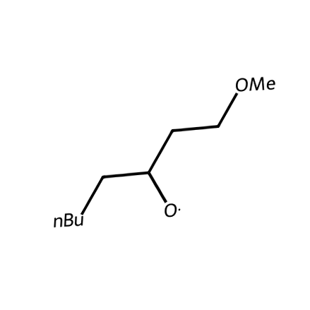 CCCCCC([O])CCOC